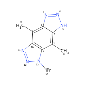 Cc1c2nn[nH]c2c(C)c2c1nnn2C(C)C